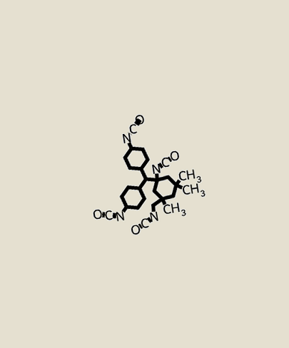 CC1(C)CC(C)(CN=C=O)CC(N=C=O)(C(C2CCC(N=C=O)CC2)C2CCC(N=C=O)CC2)C1